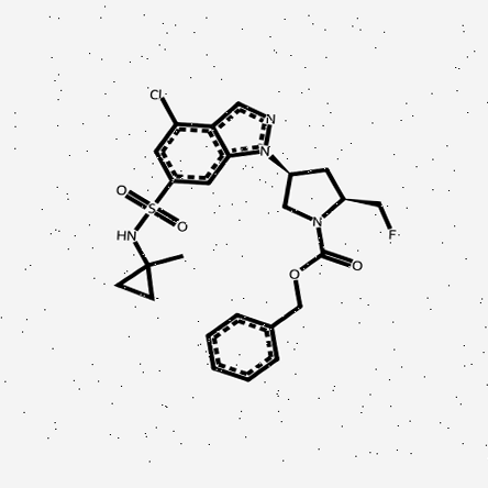 CC1(NS(=O)(=O)c2cc(Cl)c3cnn([C@H]4C[C@@H](CF)N(C(=O)OCc5ccccc5)C4)c3c2)CC1